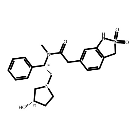 CN(C(=O)Cc1ccc2c(c1)NS(=O)(=O)C2)[C@H](CN1CC[C@H](O)C1)c1ccccc1